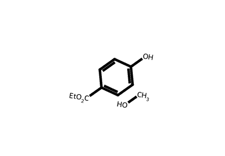 CCOC(=O)c1ccc(O)cc1.CO